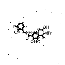 CC(C)N1C(=O)c2c(O)c(=O)c(C(=O)NCc3cccc(F)c3Cl)cn2CC1O